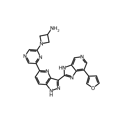 NC1CN(c2cncc(-c3ccc4[nH]nc(-c5nc6c(-c7ccoc7)cncc6[nH]5)c4n3)n2)C1